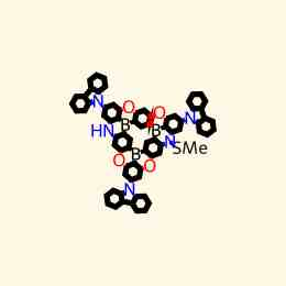 CSN1c2cc3c(cc2B2c4ccccc4Oc4cc(-n5c6ccccc6c6ccccc65)cc1c42)B1c2cc4c(cc2Oc2cc(-n5c6ccccc6c6ccccc65)cc(c21)O3)Nc1cc(-n2c3ccccc3c3ccccc32)cc2c1B4c1ccccc1O2